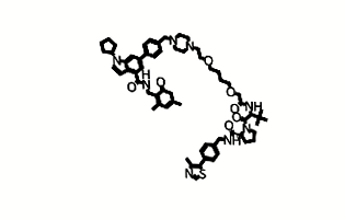 CC1=CC(C)=C(CNC(=O)c2cc(-c3ccc(CN4CCN(CCOCCCCOCC(=O)NC(C(=O)N5CCC[C@H]5C(=O)NCc5ccc(-c6scnc6C)cc5)C(C)(C)C)CC4)cc3)cc3c2ccn3C2CCCC2)C(=O)C1